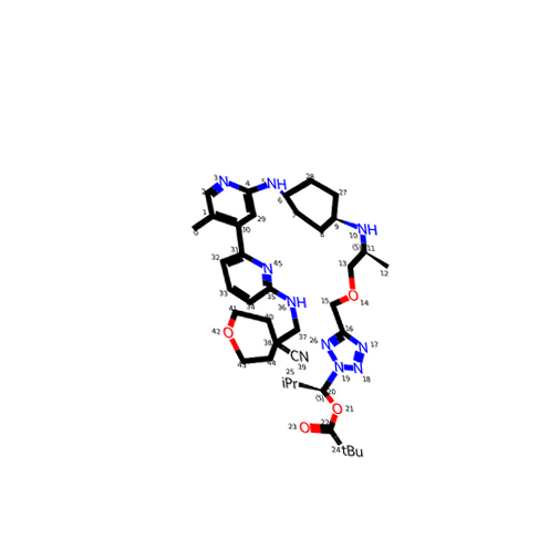 Cc1cnc(N[C@H]2CC[C@H](N[C@@H](C)COCc3nnn([C@@H](OC(=O)C(C)(C)C)C(C)C)n3)CC2)cc1-c1cccc(NCC2(C#N)CCOCC2)n1